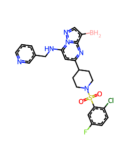 Bc1cnn2c(NCc3cccnc3)cc(C3CCN(S(=O)(=O)c4cc(F)ccc4Cl)CC3)nc12